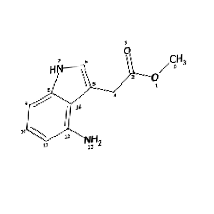 COC(=O)Cc1c[nH]c2cccc(N)c12